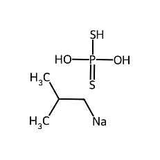 CC(C)[CH2][Na].OP(O)(=S)S